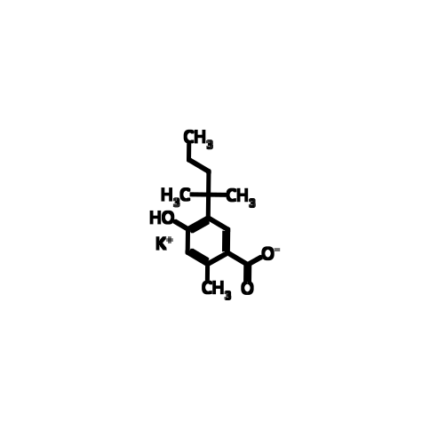 CCCC(C)(C)c1cc(C(=O)[O-])c(C)cc1O.[K+]